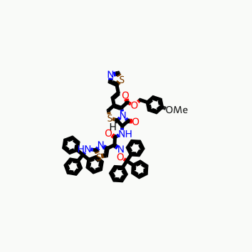 COc1ccc(COC(=O)C2=C(C=Cc3cncs3)CS[C@H]3C(NC(=O)C(=NOC(c4ccccc4)(c4ccccc4)c4ccccc4)c4csc(NC(c5ccccc5)(c5ccccc5)c5ccccc5)n4)C(=O)N23)cc1